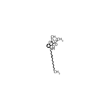 CCCCCCCCCC=CCCCNc1ccccc1C(=O)C(C(=O)OCC)C(=O)OCC